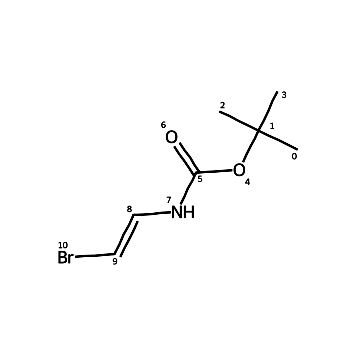 CC(C)(C)OC(=O)NC=CBr